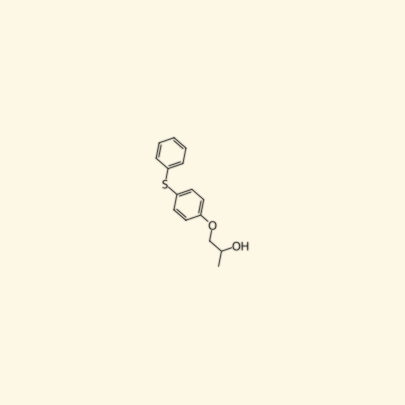 CC(O)COc1ccc(Sc2ccccc2)cc1